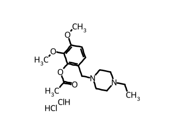 CCN1CCN(Cc2ccc(OC)c(OC)c2OC(C)=O)CC1.Cl.Cl